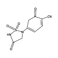 N#CC1=CC=C(N2CC(=O)NS2(=O)=O)CC1=O